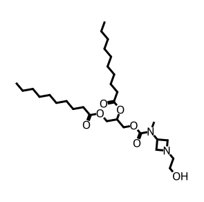 CCCCCCCCCC(=O)OCC(COC(=O)N(C)C1CN(CCO)C1)OC(=O)CCCCCCCCC